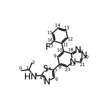 CC(C)Nc1ncc(-c2cc(-c3ccccc3F)c3nncn3c2)s1